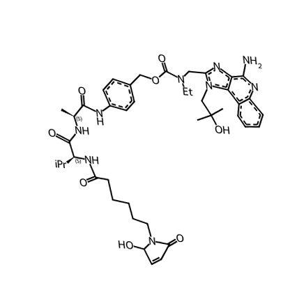 CCN(Cc1nc2c(N)nc3ccccc3c2n1CC(C)(C)O)C(=O)OCc1ccc(NC(=O)[C@H](C)NC(=O)[C@@H](NC(=O)CCCCCN2C(=O)C=CC2O)C(C)C)cc1